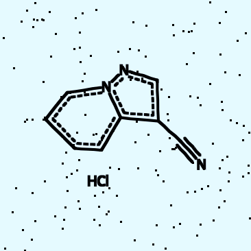 Cl.N#Cc1cnn2ccccc12